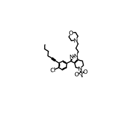 CCCCC#Cc1cc(-c2nn(CCCN3CCOCC3)c3c2CN(S(C)(=O)=O)CC3)ccc1Cl